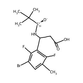 Cc1cc(Br)c(F)c(C(CC(=O)O)N[S@+]([O-])C(C)(C)C)c1F